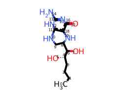 CCCC[C@H](O)C(O)C1CNc2[nH]c(N)nc(=O)c2N1